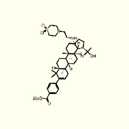 CCC(C)(O)[C@@H]1CC[C@]2(NCCN3CCS(=O)(=O)CC3)CC[C@]3(C)[C@H](CC[C@@H]4[C@@]5(C)CC=C(c6ccc(C(=O)OC)cc6)C(C)(C)[C@@H]5CC[C@]43C)[C@@H]12